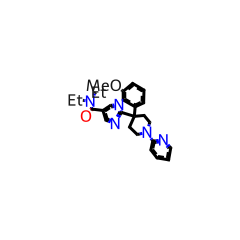 CCN(CC)C(=O)c1cnc(C2(c3cccc(OC)c3)CCN(c3ccccn3)CC2)nc1